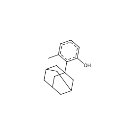 Cc1cccc(O)c1C12CC3CC(CC(C3)C1)C2